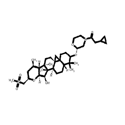 C[C@@H]1C[C@H](CS(C)(=O)=O)O[C@H]2[C@H]1[C@@]1(C)CC[C@@]34CC35CCC(O[C@H]3CN(C(=O)CC6CC6)CCO3)C(C)(C)[C@@H]5CC[C@H]4[C@]1(C)[C@H]2O